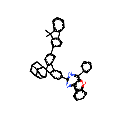 CC1(C)c2ccccc2-c2ccc(-c3ccc4c(c3)-c3cc(-c5nc(-c6ccccc6)c6oc7ccccc7c6n5)ccc3C43C4CC5CC(C4)CC3C5)cc21